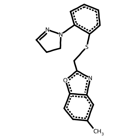 Cc1ccc2oc(CSc3ccccc3N3CCC=N3)nc2c1